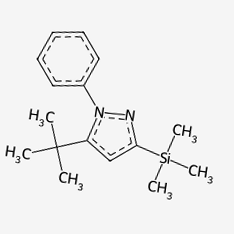 CC(C)(C)c1cc([Si](C)(C)C)nn1-c1ccccc1